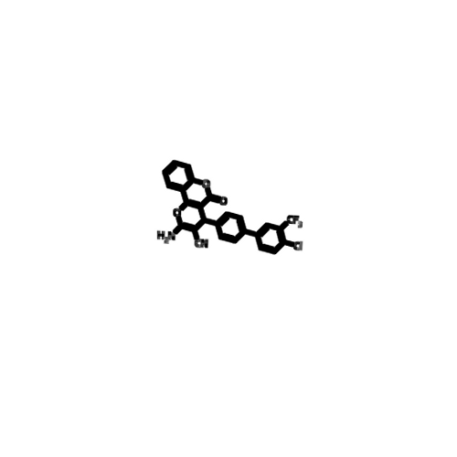 N#CC1=C(N)Oc2c(c(=O)oc3ccccc23)C1c1ccc(-c2ccc(Cl)c(C(F)(F)F)c2)cc1